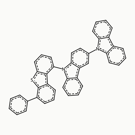 c1ccc(-c2cccc3c2sc2cccc(-n4c5ccccc5c5cc(-n6c7ccccc7c7ccccc76)ccc54)c23)cc1